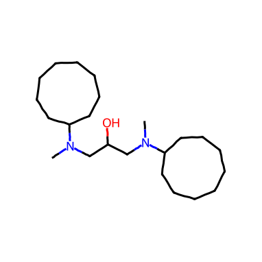 CN(CC(O)CN(C)C1CCCCCCCC1)C1CCCCCCCC1